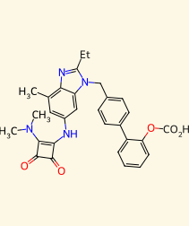 CCc1nc2c(C)cc(Nc3c(N(C)C)c(=O)c3=O)cc2n1Cc1ccc(-c2ccccc2OC(=O)O)cc1